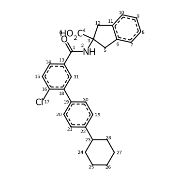 O=C(NC1(C(=O)O)Cc2ccccc2C1)c1ccc(Cl)c(-c2ccc(C3CCCCC3)cc2)c1